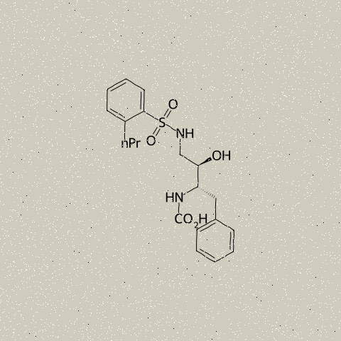 CCCc1ccccc1S(=O)(=O)NC[C@@H](O)[C@H](Cc1ccccc1)NC(=O)O